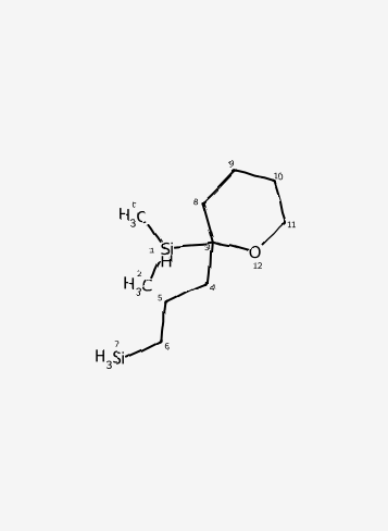 C[SiH](C)C1(CCC[SiH3])CCCCO1